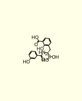 O=C(N[C@@H](Cc1cccc(C(=O)O)c1O)B(O)O)c1cccc(O)c1